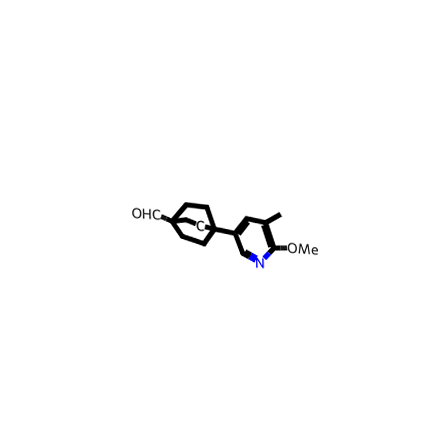 COc1ncc(C23CCC(C=O)(CC2)CC3)cc1C